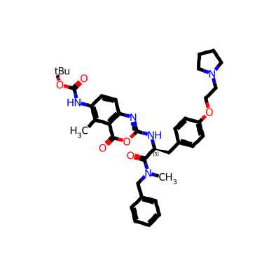 Cc1c(NC(=O)OC(C)(C)C)ccc2nc(N[C@@H](Cc3ccc(OCCN4CCCC4)cc3)C(=O)N(C)Cc3ccccc3)oc(=O)c12